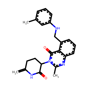 C=C1CCC(n2c(C)nc3cccc(CNc4cccc(C)c4)c3c2=O)C(=O)N1